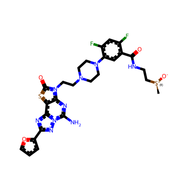 C[S@+]([O-])CCNC(=O)c1cc(N2CCN(CCn3c(=O)sc4c3nc(N)n3nc(-c5ccco5)nc43)CC2)c(F)cc1F